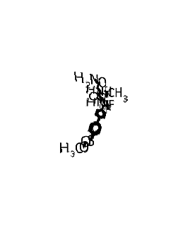 COOSc1ccc(-c2ccc([C@H](N[C@@H](CC(C)C)C(=O)NCC(N)=O)C(F)(F)F)cc2)cc1